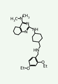 CCOc1ccc(CNCC2CCC(Nc3nc4c(c(N(C)C)n3)CCCC4)CC2)c(OCC)c1